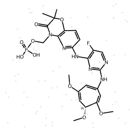 COC1=C[C@@H](OC)C(OC)=CC(Nc2ncc(F)c(Nc3ccc4c(n3)N(COP(=O)(O)O)C(=O)C(C)(C)O4)n2)=C1